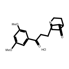 COc1cc(OC)cc(C(=O)CCC2C(=O)C3CCN2CC3)c1.Cl